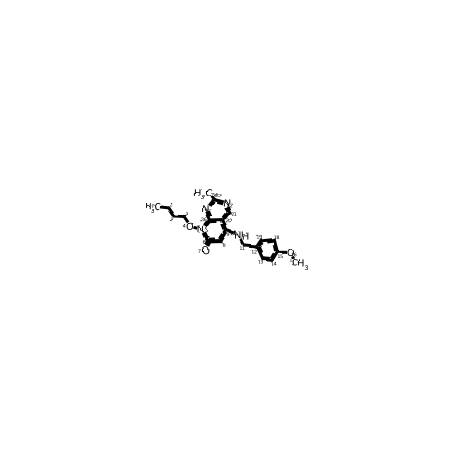 CCCCOn1c(=O)cc(NCc2ccc(OC)cc2)c2cnc(C)nc21